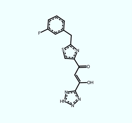 O=C(C=C(O)c1nn[nH]n1)c1csc(Cc2cccc(F)c2)n1